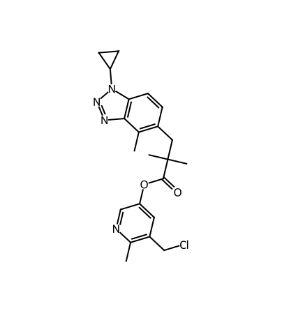 Cc1ncc(OC(=O)C(C)(C)Cc2ccc3c(nnn3C3CC3)c2C)cc1CCl